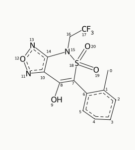 Cc1ccccc1C1=C(O)c2nonc2N(CC(F)(F)F)S1(=O)=O